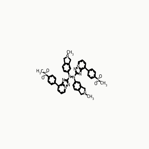 CN1Cc2ccc(N(c3nc4c(-c5ccc(S(C)(=O)=O)cc5)cccn4n3)N(c3ccc4c(c3)CN(C)C4)c3nc4c(-c5ccc(S(C)(=O)=O)cc5)cccn4n3)cc2C1